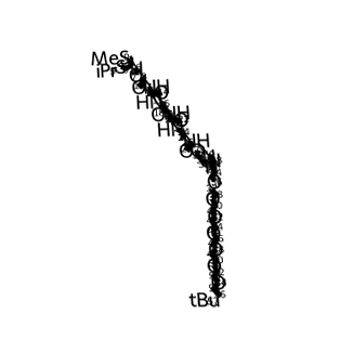 CSC/C(CSC(C)C)=N/OCC(=O)NCC(=O)NCC(=O)NCC(=O)NCCNC(=O)OCc1cn(CCOCCOCCOCCOCCOCCOCCOCCC(C)(C)C)nn1